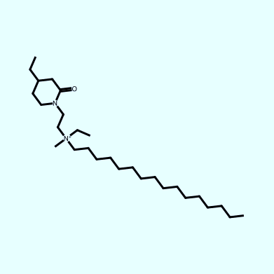 CCCCCCCCCCCCCCCC[N+](C)(CC)CCN1CCC(CC)CC1=O